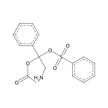 CC(=O)OC(CN)(OS(=O)(=O)c1ccccc1)c1ccccc1